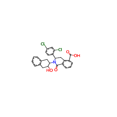 O=C(O)c1cccc2c1CC(c1ccc(Cl)cc1Cl)N(C1Cc3ccccc3CC1O)C2=O